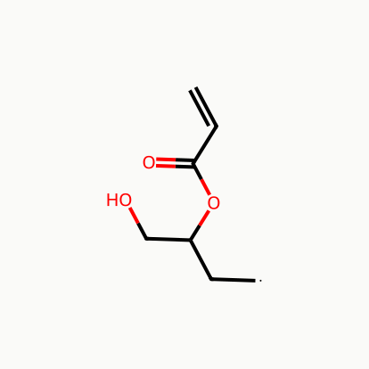 [CH2]CC(CO)OC(=O)C=C